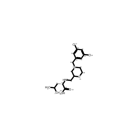 CC(C)C[C@H](NCC1CN(Cc2cc(Cl)cc(Cl)c2)CCO1)C(=O)O